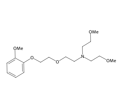 COCCN(CCOC)CCOCCOc1ccccc1OC